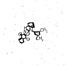 Cc1cc(C)cc(NC(=O)[C@@H](Cc2ccccc2)NC2=CC(=O)c3ccccc3C2=O)c1